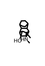 CNC1(C)C(O)C2CCC1C1C3CCC(CC3)C21